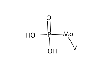 O=[P](O)(O)[Mo][V]